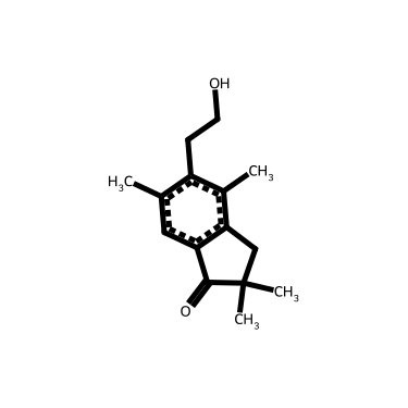 Cc1cc2c(c(C)c1CCO)CC(C)(C)C2=O